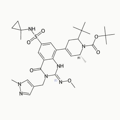 CO/N=c1\[nH]c2c(C3=C[C@@H](C)N(C(=O)OC(C)(C)C)C(C(C)(C)C)C3)cc(S(=O)(=O)NC3(C)CC3)cc2c(=O)n1Cc1cnn(C)c1